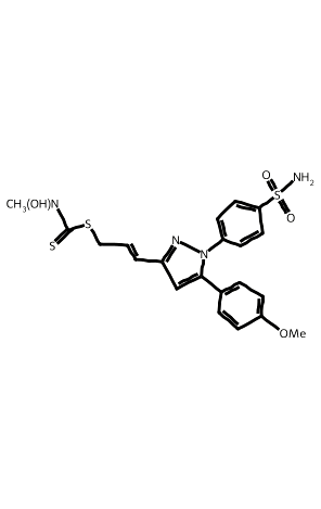 COc1ccc(-c2cc(C=CCSC(=S)N(C)O)nn2-c2ccc(S(N)(=O)=O)cc2)cc1